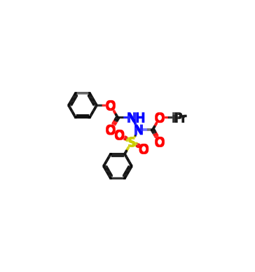 CC(C)OC(=O)N(NC(=O)Oc1ccccc1)S(=O)(=O)c1ccccc1